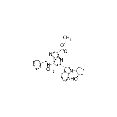 CCOC(=O)c1cnn2c(N(C)Cc3ccccc3)cc(-c3cn([C@@H]4CCC[C@H]4O)c4ncccc34)nc12